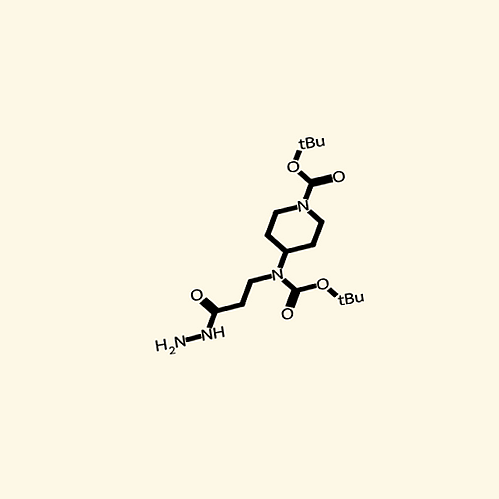 CC(C)(C)OC(=O)N1CCC(N(CCC(=O)NN)C(=O)OC(C)(C)C)CC1